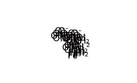 NC1(CC(=O)[O-])CCCC(CC(=O)[O-])(CC(=O)[O-])C1(N)CC(=O)[O-].NC1(CC(=O)[O-])CCCC(CC(=O)[O-])(CC(=O)[O-])C1(N)CC(=O)[O-].NC1(CC(=O)[O-])CCCC(CC(=O)[O-])(CC(=O)[O-])C1(N)CC(=O)[O-].[Fe+3].[Fe+3].[Fe+3].[Fe+3]